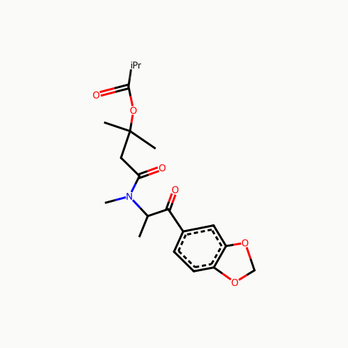 CC(C)C(=O)OC(C)(C)CC(=O)N(C)C(C)C(=O)c1ccc2c(c1)OCO2